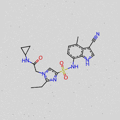 CCc1nc(S(=O)(=O)Nc2ccc(C)c3c(C#N)c[nH]c23)cn1CC(=O)NC1CC1